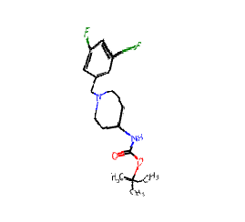 CC(C)(C)OC(=O)NC1CCN(Cc2cc(F)cc(F)c2)CC1